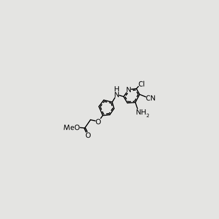 COC(=O)COc1ccc(Nc2cc(N)c(C#N)c(Cl)n2)cc1